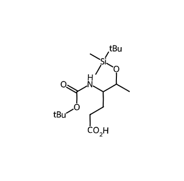 CC(O[Si](C)(C)C(C)(C)C)C(CCC(=O)O)NC(=O)OC(C)(C)C